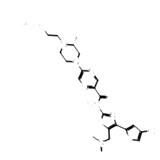 C[C@H]1CN(c2cnc(C(=O)Nc3nc(-c4cc(Cl)cs4)c(CN(C)C)s3)cn2)CCN1CCC(=O)O